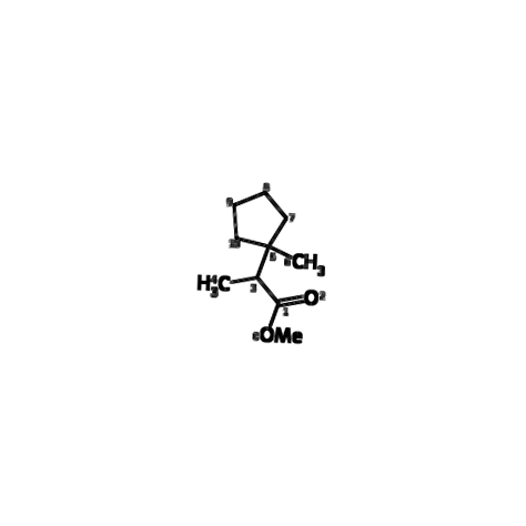 COC(=O)C(C)C1(C)CCCC1